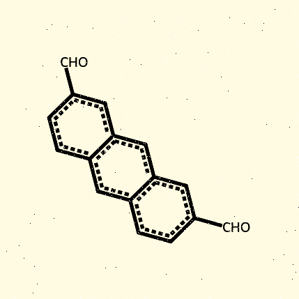 O=Cc1ccc2cc3ccc(C=O)cc3cc2c1